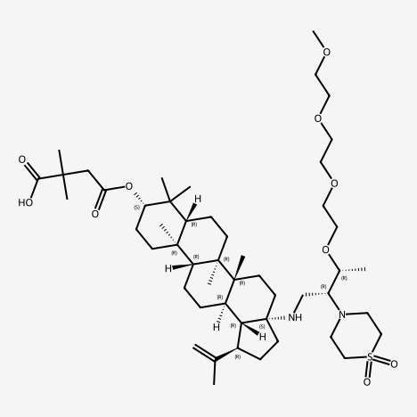 C=C(C)[C@@H]1CC[C@]2(NC[C@H]([C@@H](C)OCCOCCOCCOC)N3CCS(=O)(=O)CC3)CC[C@]3(C)[C@H](CC[C@@H]4[C@@]5(C)CC[C@H](OC(=O)CC(C)(C)C(=O)O)C(C)(C)[C@@H]5CC[C@]43C)[C@@H]12